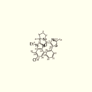 CCn1c(C2(C)CCCN2C(=O)c2nc(C)sc2-c2ccccc2)nc2ccc(Cl)c(C)c21